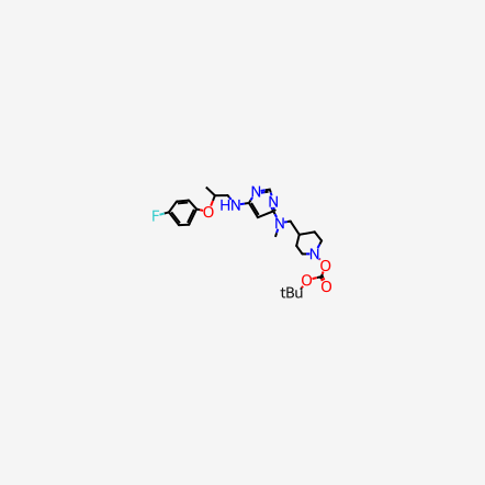 CC(CNc1cc(N(C)CC2CCN(OC(=O)OC(C)(C)C)CC2)ncn1)Oc1ccc(F)cc1